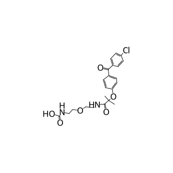 CC(C)(Oc1ccc(C(=O)c2ccc(Cl)cc2)cc1)C(=O)NCCOCCNC(=O)O